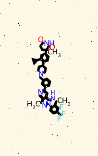 Cc1nnc(N[C@H](C)c2cccc(C(F)F)c2F)c2cc(-c3cccc(CN4CCC(c5ccc([C@@]6(C)CCC(=O)NC6=O)cc5C5CC5)CC4)c3)ncc12